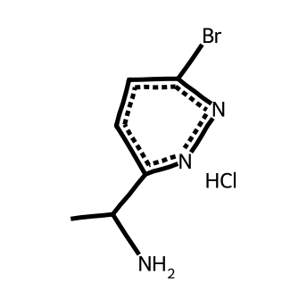 CC(N)c1ccc(Br)nn1.Cl